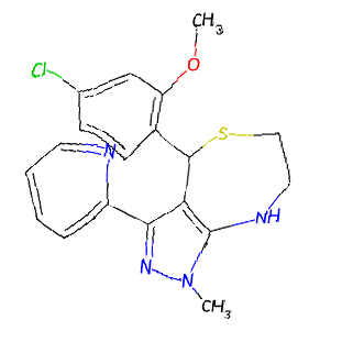 COc1cc(Cl)ccc1C1SCCNc2c1c(-c1ccccn1)nn2C